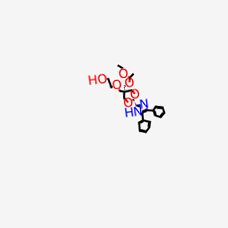 CCOC(C)OC[C@]1(COCCO)CO[C@H](c2nc(-c3ccccc3)c(-c3ccccc3)[nH]2)OC1